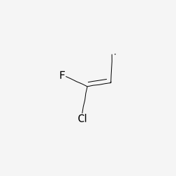 [CH2]/C=C(\F)Cl